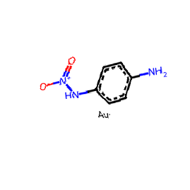 Nc1ccc(N[N+](=O)[O-])cc1.[Au]